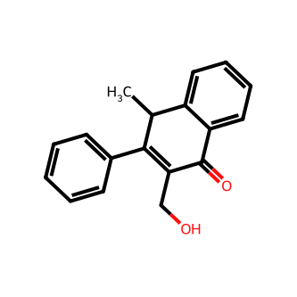 CC1C(c2ccccc2)=C(CO)C(=O)c2ccccc21